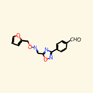 O=Cc1ccc(-c2noc(C=NOCc3ccco3)n2)cc1